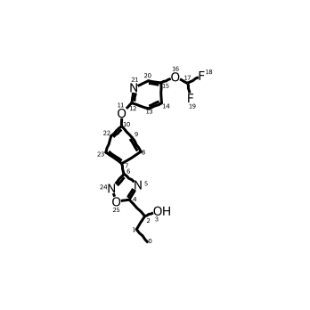 CCC(O)c1nc(-c2ccc(Oc3ccc(OC(F)F)cn3)cc2)no1